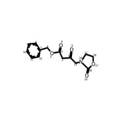 O=C(CC(=O)OCc1ccccc1)CN1CCOC1=O